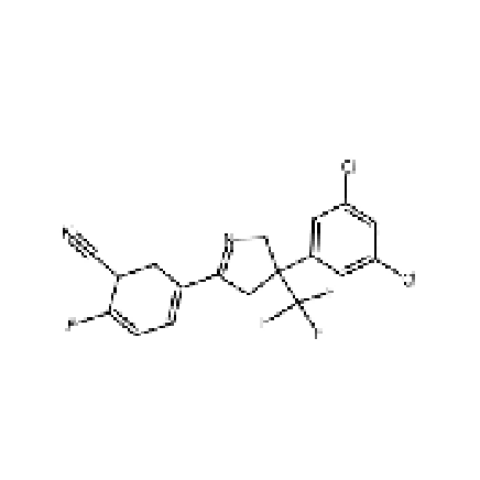 N#CC1CC(C2=NCC(c3cc(Cl)cc(Cl)c3)(C(F)(F)F)C2)=CC=C1F